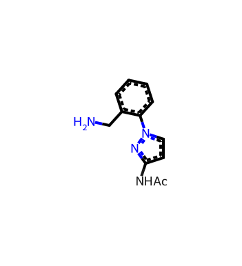 CC(=O)Nc1ccn(-c2ccccc2CN)n1